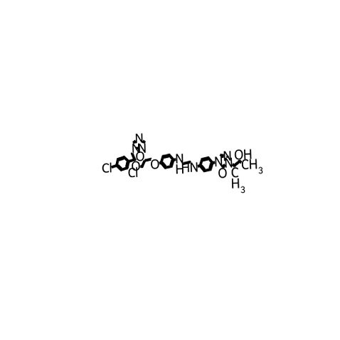 CC(O)C(C)n1ncn(-c2ccc(NCCNc3ccc(OCC4COC(Cn5cncn5)(c5ccc(Cl)cc5Cl)O4)cc3)cc2)c1=O